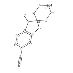 CC1c2ccc(C#N)cc2CC12CCNCC2